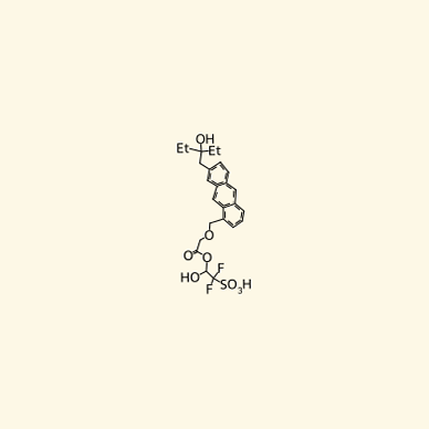 CCC(O)(CC)Cc1ccc2cc3cccc(COCC(=O)OC(O)C(F)(F)S(=O)(=O)O)c3cc2c1